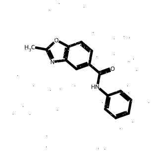 Cc1nc2cc(C(=O)Nc3ccccc3)ccc2o1